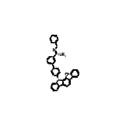 N/C(=N\Cc1ccccc1)c1cccc(-c2ccc(-n3c4ccccc4c4ccc5c6ccccc6oc5c43)cc2)c1